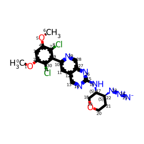 COc1cc(OC)c(Cl)c(-c2cc3cnc(N[C@@H]4COCC[C@@H]4N=[N+]=[N-])nc3cn2)c1Cl